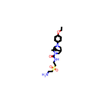 CCOc1ccc(N2CC3CN(C(=O)NCCS(=O)(=O)CCN)CC2C(C)(C)C3)cc1